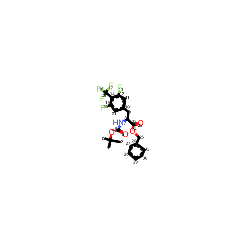 CC(C)(C)OC(=O)NC(Cc1cc(F)c(C(F)(F)F)c(F)c1)C(=O)OCc1ccccc1